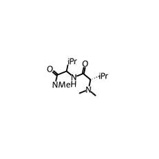 CNC(=O)C(NC(=O)[C@H](C(C)C)N(C)C)C(C)C